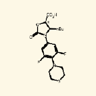 CCCCC1[C@H](C(=O)O)OC(=O)N1c1cc(F)c(N2CCSCC2)c(F)c1